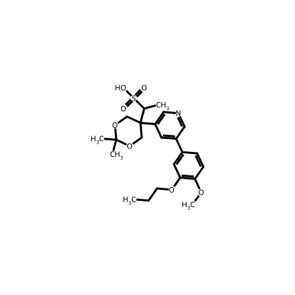 CCCOc1cc(-c2cncc(C3(C(C)S(=O)(=O)O)COC(C)(C)OC3)c2)ccc1OC